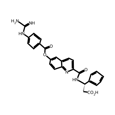 N=C(N)Nc1ccc(C(=O)Oc2ccc3nc(C(=O)N[C@@H](CC(=O)O)c4ccccc4)ccc3c2)cc1